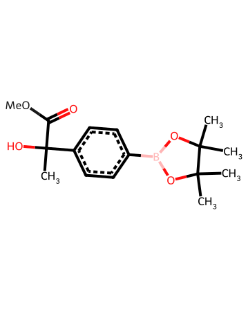 COC(=O)C(C)(O)c1ccc(B2OC(C)(C)C(C)(C)O2)cc1